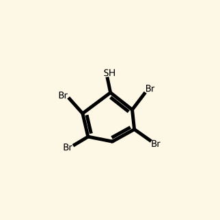 Sc1c(Br)c(Br)cc(Br)c1Br